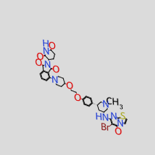 CN1C[C@H](Nc2nc3sccn3c(=O)c2Br)C[C@H](c2ccc(OCCOC3CCN(c4cccc5c4C(=O)N(C4CCC(=O)NC4=O)C5=O)CC3)cc2)C1